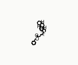 C[C@H](CCC(=O)OCc1ccccc1)[C@H]1CC[C@H]2[C@@H]3CC[C@@H]4CCCC[C@]4(C)[C@H]3CC[C@]12C